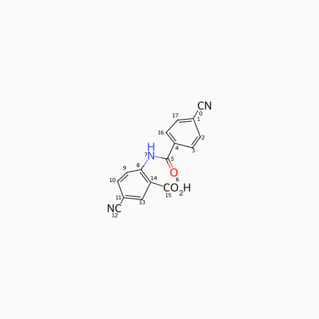 N#Cc1ccc(C(=O)Nc2ccc(C#N)cc2C(=O)O)cc1